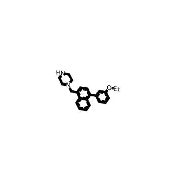 CCOc1cccc(-c2ccc(CN3CCNCC3)c3ccccc23)c1